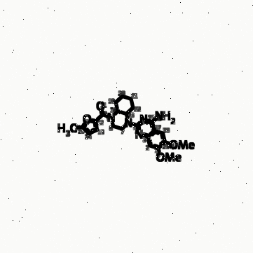 COc1cc2nc(N3CCN(C(=O)c4ccc(C)o4)C4CCCCC43)nc(N)c2cc1OC